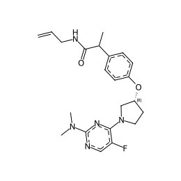 C=CCNC(=O)C(C)c1ccc(O[C@@H]2CCN(c3nc(N(C)C)ncc3F)C2)cc1